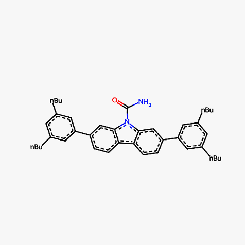 CCCCc1cc(CCCC)cc(-c2ccc3c4ccc(-c5cc(CCCC)cc(CCCC)c5)cc4n(C(N)=O)c3c2)c1